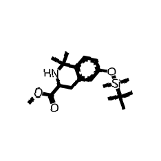 COC(=O)C1Cc2cc(O[Si](C)(C)C(C)(C)C)ccc2C(C)(C)N1